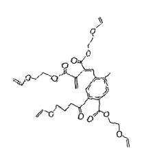 C=COCCCC(=O)c1cc(/C=C(\C(=C)C(=O)OCCOC=C)C(=O)OCCOC=C)c(C)cc1C(=O)OCCOC=C